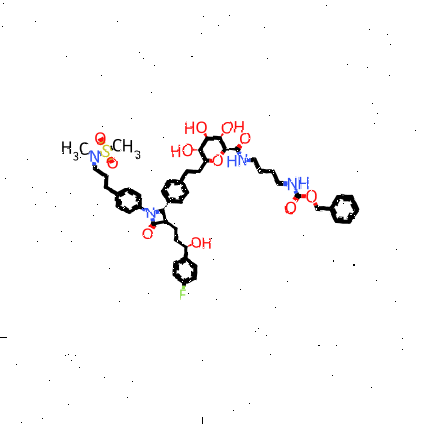 CN(CCCc1ccc(N2C(=O)C(CC[C@H](O)c3ccc(F)cc3)[C@H]2c2ccc(CCC3O[C@H](C(=O)NCCCCNC(=O)OCc4ccccc4)[C@@H](O)[C@H](O)[C@H]3O)cc2)cc1)S(C)(=O)=O